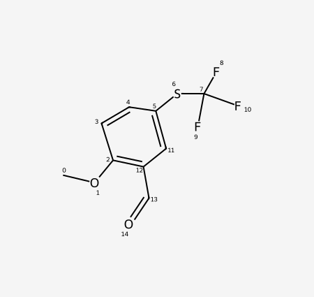 COc1ccc(SC(F)(F)F)cc1C=O